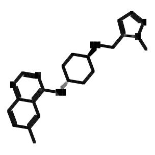 Cc1ccc2ncnc(N[C@H]3CC[C@H](NCc4ccnn4C)CC3)c2c1